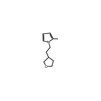 Cc1cccn1CCC1CCOC1